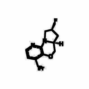 CC(C)c1ccnc2c1OC[C@@H]1C[C@H](F)CN21